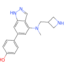 CN(CC1CNC1)c1cc(-c2ccc(O)cc2)cc2[nH]ncc12